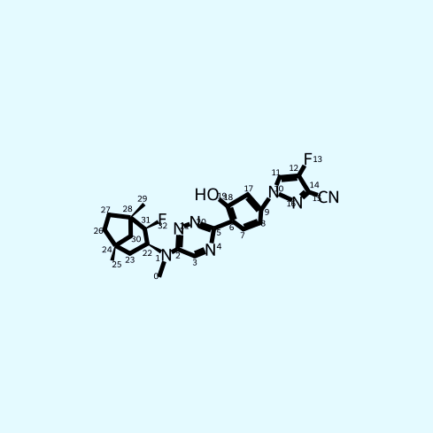 CN(c1cnc(-c2ccc(-n3cc(F)c(C#N)n3)cc2O)nn1)[C@H]1C[C@]2(C)CC[C@@](C)(C2)[C@H]1F